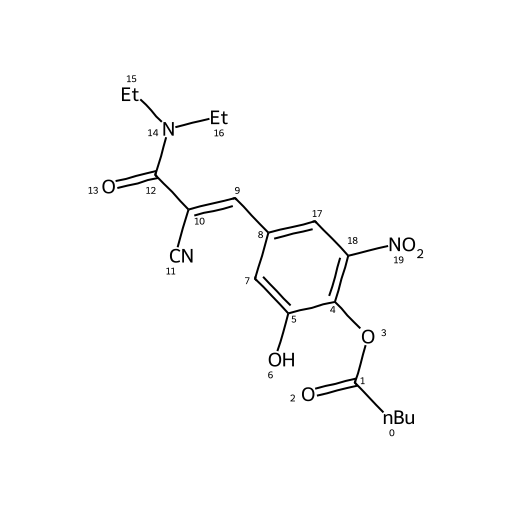 CCCCC(=O)Oc1c(O)cc(/C=C(\C#N)C(=O)N(CC)CC)cc1[N+](=O)[O-]